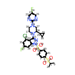 CC(C)S(=O)(=O)c1ccc(S(=O)(=O)n2nc(N3CCN(c4ncc(F)cn4)CC3C3CC3)c3c(Cl)cc(F)cc32)cc1